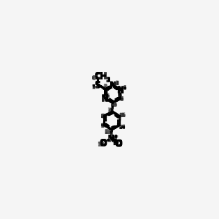 CSc1nncc(-c2ccc([N+](=O)[O-])cc2)n1